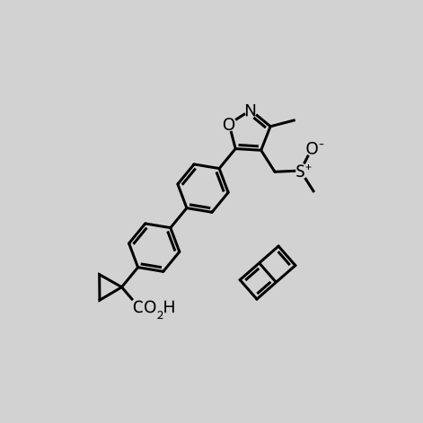 Cc1noc(-c2ccc(-c3ccc(C4(C(=O)O)CC4)cc3)cc2)c1C[S+](C)[O-].c1cc2ccc1-2